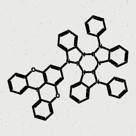 c1ccc(N2B3N(B4N(B5N3c3ccccc3N5c3ccccc3)c3ccccc3N4c3cc4c5c(c3)Oc3ccccc3B5c3ccccc3O4)c3ccccc32)cc1